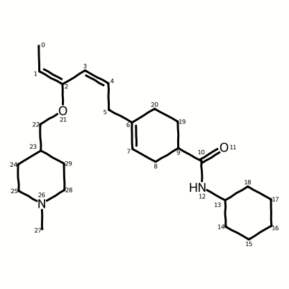 C/C=C(\C=C/CC1=CCC(C(=O)NC2CCCCC2)CC1)OCC1CCN(C)CC1